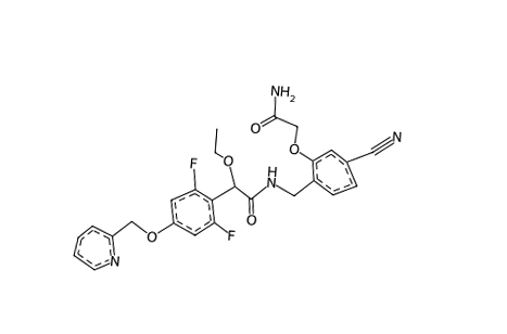 CCOC(C(=O)NCc1ccc(C#N)cc1OCC(N)=O)c1c(F)cc(OCc2ccccn2)cc1F